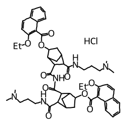 CCOc1ccc2ccccc2c1C(=O)OC1CC2CC1C(C(=O)NC(=O)C1C3CC(CC3OC(=O)c3c(OCC)ccc4ccccc34)C1C(=O)NCCCN(C)C)C2C(=O)NCCCN(C)C.Cl